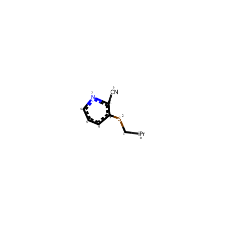 CC(C)CSc1cccnc1C#N